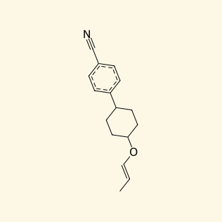 C/C=C/OC1CCC(c2ccc(C#N)cc2)CC1